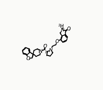 [2H]N1Cc2c(OCCN3CCC[C@@H]3C(=O)N3CCC4(CC3)COc3ccccc34)cccc2C1=O